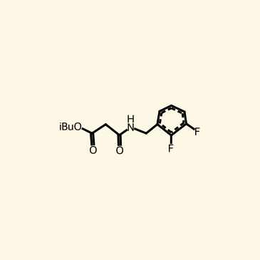 CC(C)COC(=O)CC(=O)NCc1cccc(F)c1F